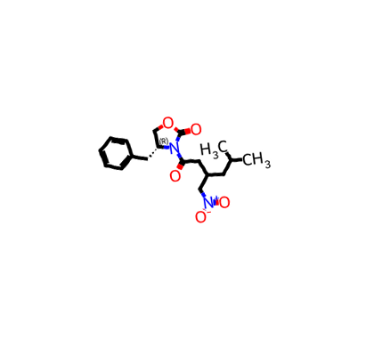 CC(C)CC(CC(=O)N1C(=O)OC[C@H]1Cc1ccccc1)C[N+](=O)[O-]